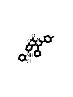 Cc1ccc(-c2cc(-c3ccccc3)c3c(n2)c(=O)oc2ccc(Nc4ccccc4Cl)cc23)cc1